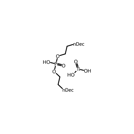 CCCCCCCCCCCCOP(=O)(O)OCCCCCCCCCCCC.[O]=[Ti]([OH])[OH]